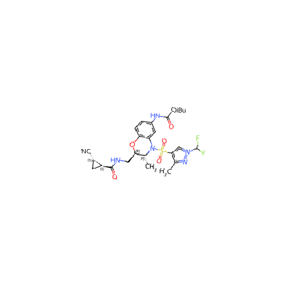 Cc1nn(C(F)F)cc1S(=O)(=O)N1c2cc(NC(=O)OCC(C)C)ccc2O[C@H](CNC(=O)[C@H]2C[C@@H]2C#N)[C@H]1C